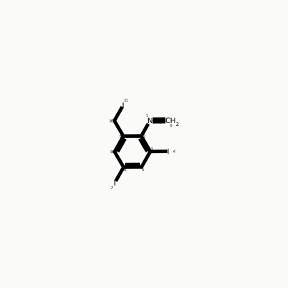 C=Nc1c(I)cc(I)cc1CI